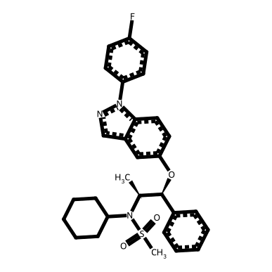 C[C@@H]([C@@H](Oc1ccc2c(cnn2-c2ccc(F)cc2)c1)c1ccccc1)N(C1CCCCC1)S(C)(=O)=O